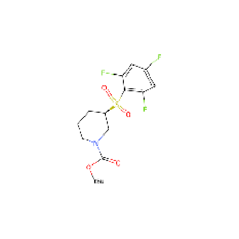 CC(C)(C)OC(=O)N1CCC[C@@H](S(=O)(=O)c2c(F)cc(F)cc2F)C1